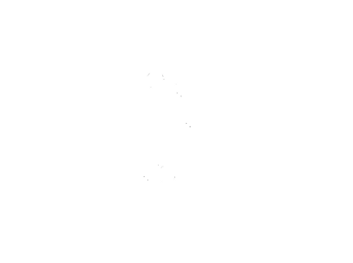 O=C(NC(CCN1CC[C@H](CCc2ccc3c(n2)NCCC3)C1)C(=O)O)c1ccccc1C(F)(F)F